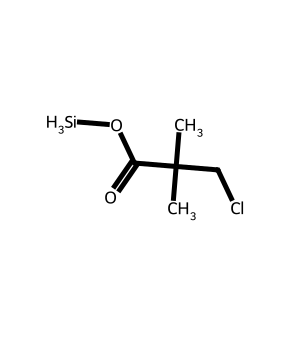 CC(C)(CCl)C(=O)O[SiH3]